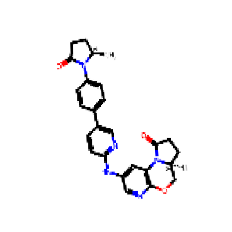 C[C@@H]1CCC(=O)N1c1ccc(-c2ccc(Nc3cnc4c(c3)N3C(=O)CC[C@H]3CO4)nc2)cc1